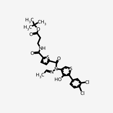 CC=NN(C(=O)c1ccc(C(=O)NCCC(=O)OC(C)(C)C)s1)c1csc(-c2ccc(Cl)c(Cl)c2)c1O